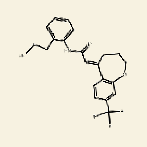 O=C(/C=C1\CCCOc2cc(C(F)(F)F)ccc21)Nc1ccccc1CCO